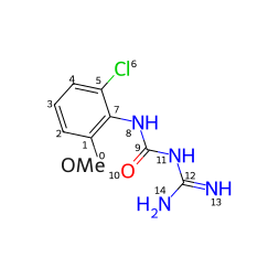 COc1cccc(Cl)c1NC(=O)NC(=N)N